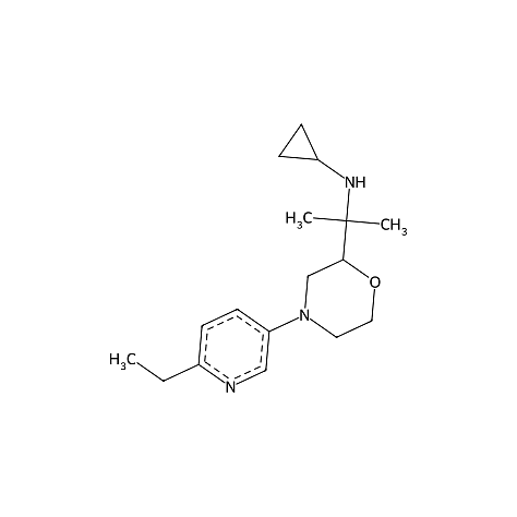 CCc1ccc(N2CCOC(C(C)(C)NC3CC3)C2)cn1